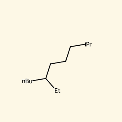 CCCCC(CC)CCCC(C)C